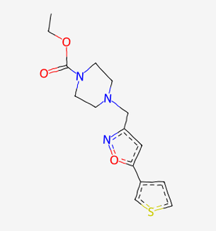 CCOC(=O)N1CCN(Cc2cc(-c3ccsc3)on2)CC1